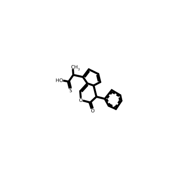 CC(C(O)=S)C1=CC=CC2C1=COC(=O)C2c1ccccc1